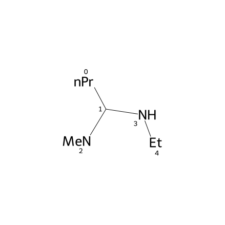 CCCC(NC)NCC